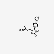 NC(=O)CCC1OC(=O)N(F)C1c1ccc(N2CCSC2)cc1